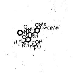 COCCOc1ccc(C(Nc2ccc(C(=N)N)cc2)c2nn(-c3ccccc3C(=O)O)c(=O)[nH]2)cc1OC.O=C(O)C(F)(F)F